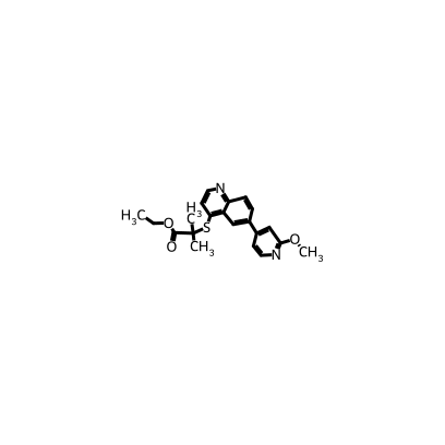 CCOC(=O)C(C)(C)Sc1ccnc2ccc(-c3ccnc(OC)c3)cc12